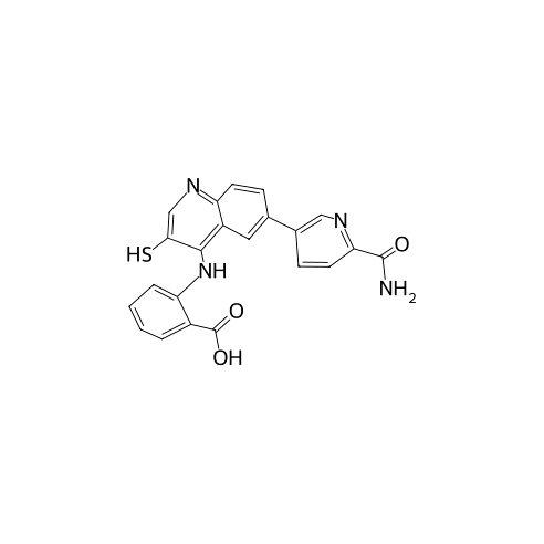 NC(=O)c1ccc(-c2ccc3ncc(S)c(Nc4ccccc4C(=O)O)c3c2)cn1